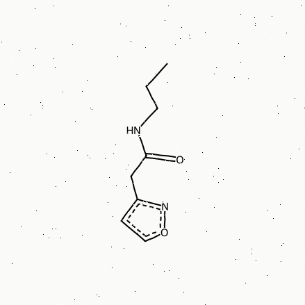 CCCNC(=O)Cc1ccon1